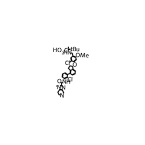 COc1cc(OC2CCc3c(-c4cccc(NC(=O)c5nc6c(n5C)CCN(C)C6)c4Cl)cccc32)c(Cl)cc1CNC(C)(C(=O)O)C(C)(C)C